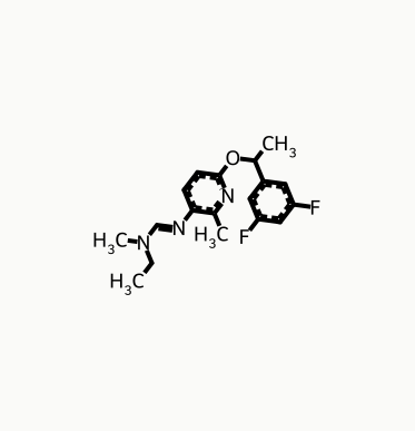 CCN(C)/C=N/c1ccc(OC(C)c2cc(F)cc(F)c2)nc1C